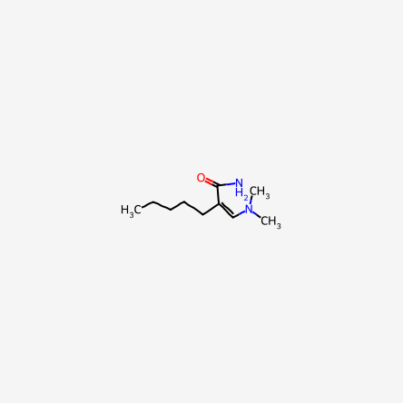 CCCCCC(=CN(C)C)C(N)=O